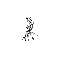 COC(=O)NCC(=O)N1CC(=O)C2[C@H]1CCN2C(=O)[C@H](CC(C)C)NC(=O)c1ccc(N(C)C)cc1